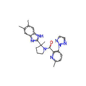 Cc1ccc(-n2nccn2)c(C(=O)N2CCCC2(C)c2nc3cc(C)c(C)cc3[nH]2)n1